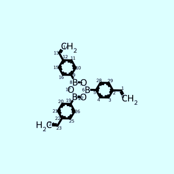 C=Cc1ccc(B2OB(c3ccc(C=C)cc3)OB(c3ccc(C=C)cc3)O2)cc1